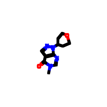 Cn1cnc2c(cnn2C2CCOCC2)c1=O